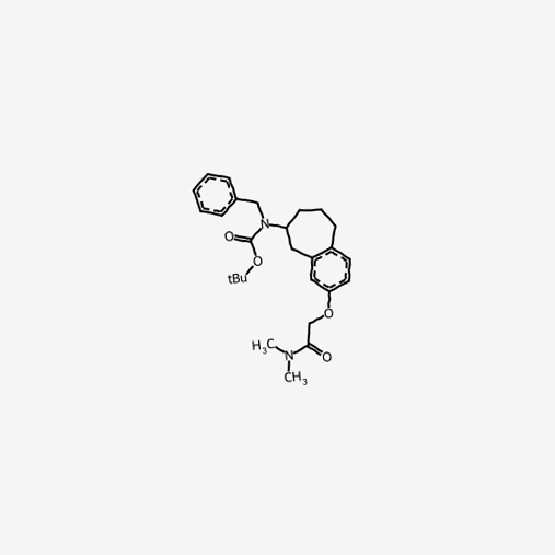 CN(C)C(=O)COc1ccc2c(c1)CC(N(Cc1ccccc1)C(=O)OC(C)(C)C)CCC2